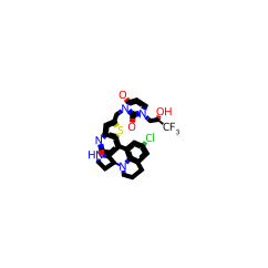 O=c1ccn(C[C@@H](O)C(F)(F)F)c(=O)n1Cc1cc2nccc(-c3cc(Cl)cc4c3N([C@H]3CCNC3)CCC4)c2s1